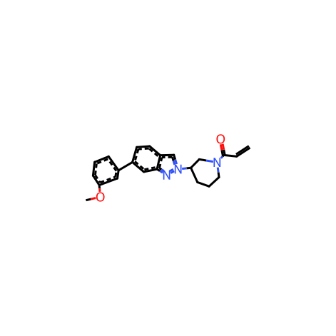 C=CC(=O)N1CCCC(n2cc3ccc(-c4cccc(OC)c4)cc3n2)C1